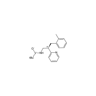 Cc1ccccc1C[C@H](CN[S+]([O-])C(C)(C)C)c1ccccn1